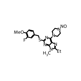 CCc1nc2c(N3CCN(N=O)CC3)nc(SCc3ccc(OC)c(F)c3)nc2n1C